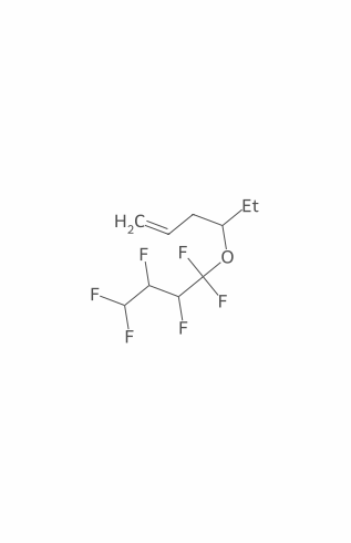 C=CCC(CC)OC(F)(F)C(F)C(F)C(F)F